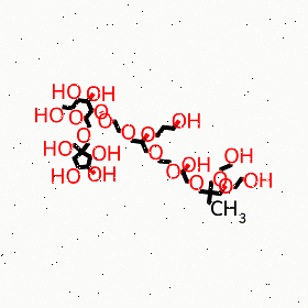 CCC(COCCO)(COCCO)COCC(O)OCCOCC(COCCOOC1C(COCC2(CO)CC(O)C(O)C2O)OC(CO)C(O)C1O)OCCCO